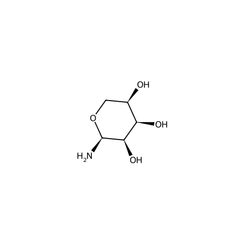 N[C@H]1OC[C@@H](O)[C@@H](O)[C@H]1O